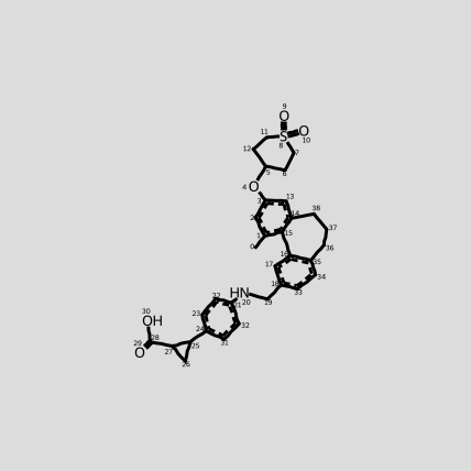 Cc1cc(OC2CCS(=O)(=O)CC2)cc2c1-c1cc(CNc3ccc(C4CC4C(=O)O)cc3)ccc1CCC2